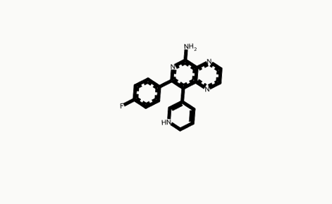 Nc1nc(-c2ccc(F)cc2)c(C2=CNCC=C2)c2nccnc12